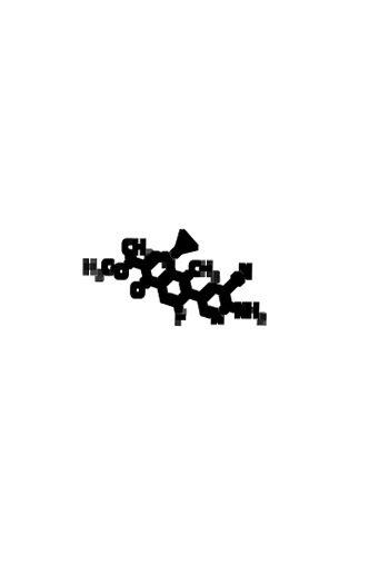 C=C(OC)c1cn(C2CC2)c2c(C)c(-c3cnc(N)c(C#N)c3)c(F)cc2c1=O